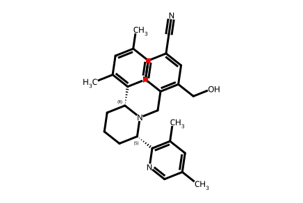 Cc1cnc([C@H]2CCC[C@@H](c3ncc(C)cc3C)N2Cc2ccc(C#N)cc2CO)c(C)c1